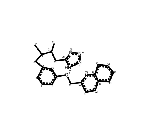 CC(Cc1cccc(OCc2ccc3ccccc3n2)c1)C(C)Cc1nnn[nH]1